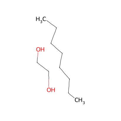 CCCCCCCC.OCCO